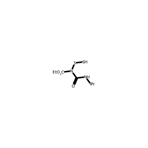 CCOC(=O)N(SS)C(=O)NC(C)C